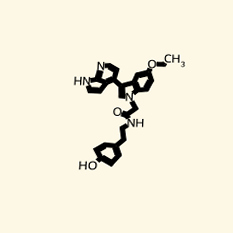 CCOc1ccc2c(c1)c(-c1ccnc3[nH]ccc13)cn2CC(=O)NCCc1ccc(O)cc1